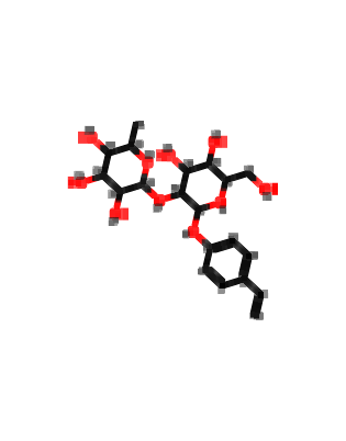 C=Cc1ccc(OC2OC(CO)C(O)C(O)C2OC2OC(C)C(O)C(O)C2O)cc1